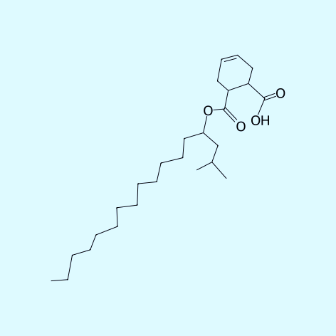 CCCCCCCCCCCCCC(CC(C)C)OC(=O)C1CC=CCC1C(=O)O